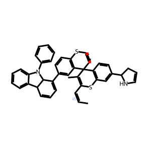 C/C=C\C1=C(C)C2(c3ccc(C4CC=CN4)cc3S1)c1ccccc1Sc1ccc(C3=CC=CC4c5ccccc5N(c5ccccc5)C34)cc12